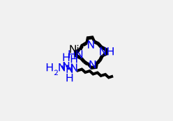 C1=Cc2cc3ccc(cc4nc(cc5ccc(cc1n2)[nH]5)C=C4)[nH]3.CCCCCCCCCCNNNN.[Ni]